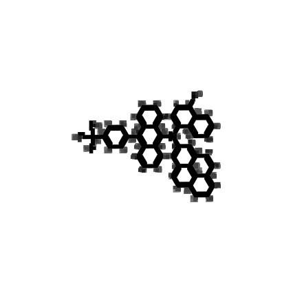 Fc1ccc(N(c2cc3ccc4cccc5ccc(c2)c3c45)c2c3ccccc3c(-c3ccc(C(F)(F)F)cc3)c3ccccc23)c2ccccc12